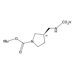 CC(C)(C)OC(=O)N1CC[C@H](CNC(=O)O)C1